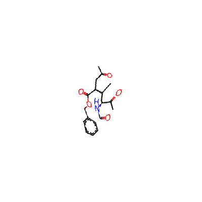 CC(=O)CC(C(=O)OCc1ccccc1)C(C)[C@H](NC=O)C(C)=O